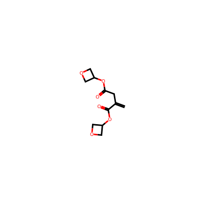 C=C(CC(=O)OC1COC1)C(=O)OC1COC1